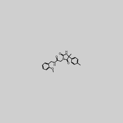 COc1ccccc1CNC(=O)CN1C(=O)NC(C)(c2ccc(C)cc2)C1=O